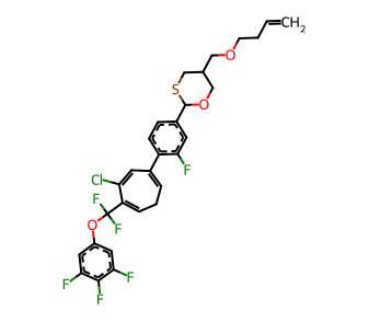 C=CCCOCC1COC(c2ccc(C3=CCC=C(C(F)(F)Oc4cc(F)c(F)c(F)c4)C(Cl)=C3)c(F)c2)SC1